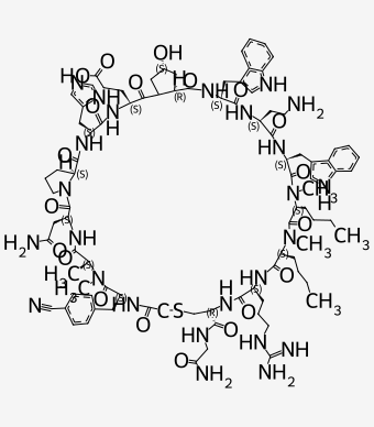 CCCC[C@H]1C(=O)N(C)[C@@H](CCCC)C(=O)N[C@@H](CCCNC(=N)N)C(=O)N[C@H](C(=O)NCC(N)=O)CSCC(=O)N[C@@H](Cc2ccc(C#N)cc2)C(=O)N(C)[C@@H](C)C(=O)N[C@@H](CC(N)=O)C(=O)N2CCC[C@H]2C(=O)N[C@@H](Cc2cnc[nH]2)C(=O)N[C@@H](CCC(=O)O)C(=O)C2C[C@H](O)C[C@H]2C(=O)N[C@@H](Cc2c[nH]c3ccccc23)C(=O)N[C@@H](CCN)C(=O)N[C@@H](Cc2c[nH]c3ccccc23)C(=O)N1C